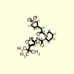 CC(C)(C)c1cc(NC(=O)[C@@H]2CCCCN2C(=O)CC2CCS(=O)(=O)C2)no1